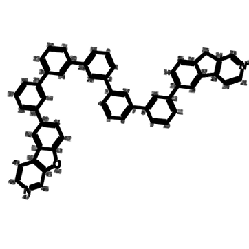 c1cc(-c2cccc(-c3cccc(-c4ccc5c(c4)-c4ccncc4C5)c3)c2)cc(-c2cccc(-c3cccc(-c4ccc5oc6cnccc6c5c4)c3)c2)c1